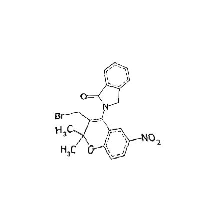 CC1(C)Oc2ccc([N+](=O)[O-])cc2C(N2Cc3ccccc3C2=O)=C1CBr